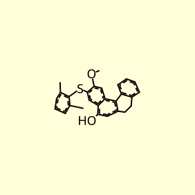 COc1cc2c3c(cc(O)c2cc1Sc1c(C)cccc1C)CCc1ccccc1-3